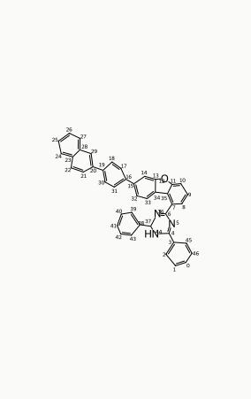 c1ccc(C2=NC(c3cccc4oc5cc(-c6ccc(-c7ccc8ccccc8c7)cc6)ccc5c34)=NC(c3ccccc3)N2)cc1